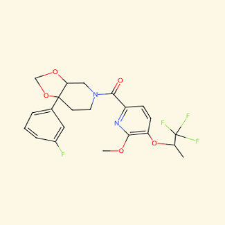 COc1nc(C(=O)N2CCC3(c4cccc(F)c4)OCOC3C2)ccc1OC(C)C(F)(F)F